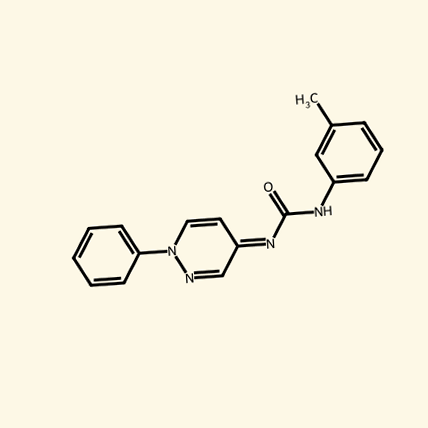 Cc1cccc(NC(=O)N=c2ccn(-c3ccccc3)nc2)c1